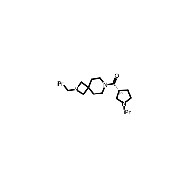 CC(C)CN1CC2(CCN(C(=O)[C@@H]3CCN(C(C)C)C3)CC2)C1